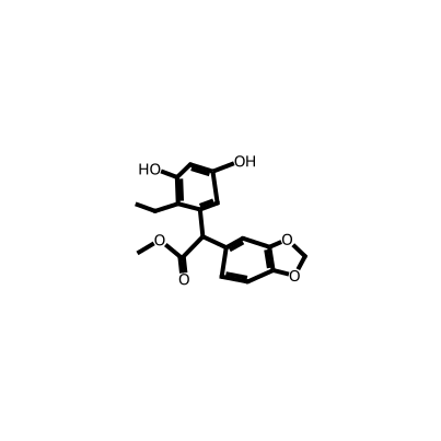 CCc1c(O)cc(O)cc1C(C(=O)OC)c1ccc2c(c1)OCO2